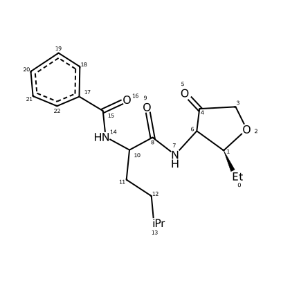 CC[C@@H]1OCC(=O)C1NC(=O)C(CCC(C)C)NC(=O)c1ccccc1